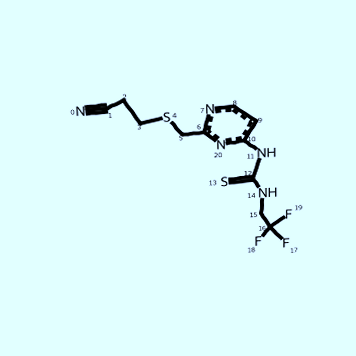 N#CCCSCc1nccc(NC(=S)NCC(F)(F)F)n1